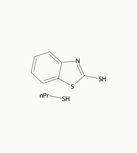 Sc1nc2ccccc2s1.[CH2]CCS